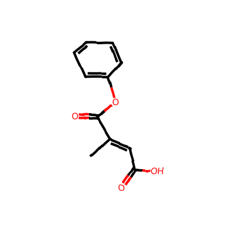 CC(=CC(=O)O)C(=O)Oc1ccccc1